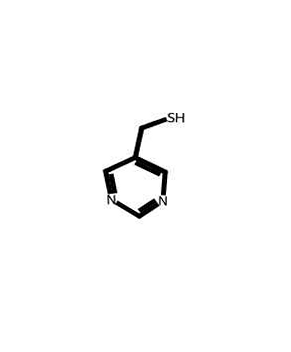 SCc1cncnc1